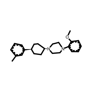 COc1ccccc1N1CCN([C@H]2CC[C@H](c3cccc(C)c3)CC2)CC1